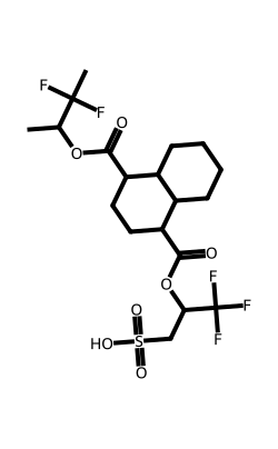 CC(OC(=O)C1CCC(C(=O)OC(CS(=O)(=O)O)C(F)(F)F)C2CCCCC12)C(C)(F)F